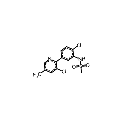 CS(=O)(=O)Nc1cc(-c2ncc(C(F)(F)F)cc2Cl)ccc1Cl